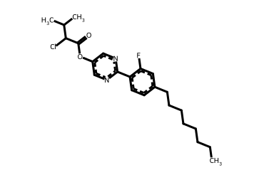 CCCCCCCCc1ccc(-c2ncc(OC(=O)C(Cl)C(C)C)cn2)c(F)c1